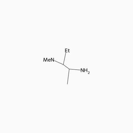 [CH2]CC(NC)C(C)N